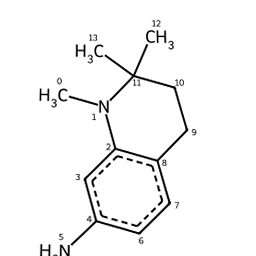 CN1c2cc(N)ccc2CCC1(C)C